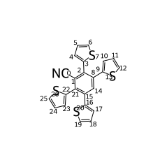 N#Cc1c(-c2cccs2)c(-c2cccs2)cc(-c2cccs2)c1-c1cccs1